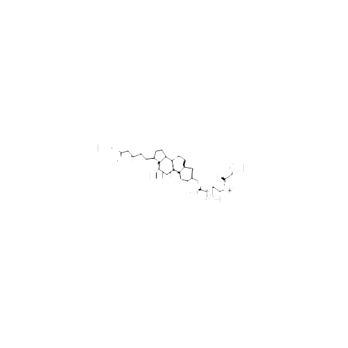 CCC(=O)N(C)CCN(C)C(=O)OC1CCC2(C)C(=CCC3C2CCC2(C)C(CCCCC(C)C)CCC32)C1